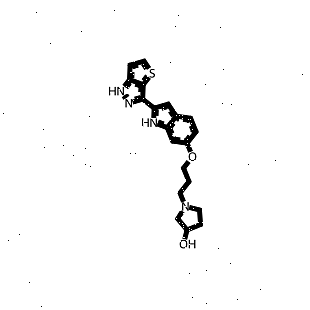 OC1CCN(CCCOc2ccc3cc(-c4n[nH]c5ccsc45)[nH]c3c2)C1